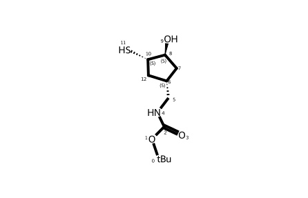 CC(C)(C)OC(=O)NC[C@H]1C[C@H](O)[C@@H](S)C1